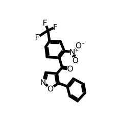 O=C(c1ccc(C(F)(F)F)cc1[N+](=O)[O-])c1cnoc1-c1ccccc1